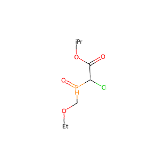 CCOC[PH](=O)C(Cl)C(=O)OC(C)C